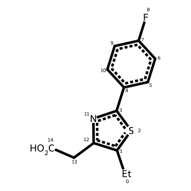 CCc1sc(-c2ccc(F)cc2)nc1CC(=O)O